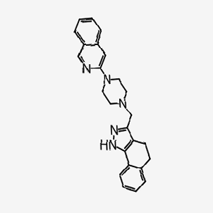 c1ccc2c(c1)CCc1c(CN3CCN(c4cc5ccccc5cn4)CC3)n[nH]c1-2